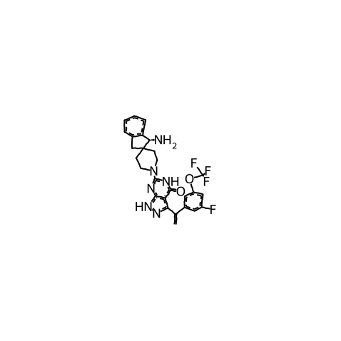 C=C(c1cc(F)cc(OC(F)(F)F)c1)c1n[nH]c2nc(N3CCC4(CC3)Cc3ccccc3[C@H]4N)[nH]c(=O)c12